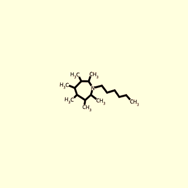 CCCCCCN1C(C)C(C)C(C)C(C)C(C)C1C